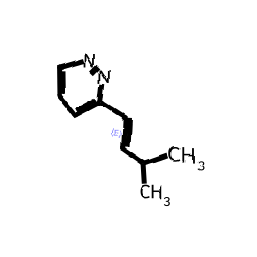 CC(C)/C=C/c1cccnn1